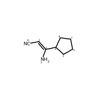 N#CC=C(N)C1CCCC1